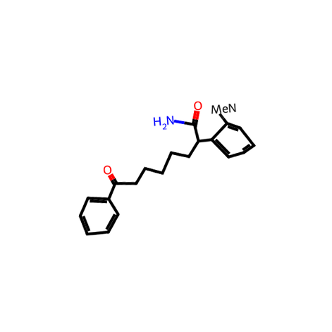 CNc1ccccc1C(CCCCCC(=O)c1ccccc1)C(N)=O